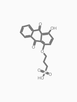 O=C1c2ccccc2C(=O)c2c(OCCCS(=O)(=O)O)ccc(O)c21